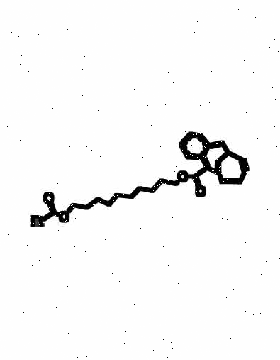 CCC(=O)OCCCCCCCCCCOC(=O)C1=c2ccccc2=CC2C#CC=CC1=C2